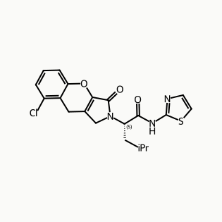 CC(C)C[C@@H](C(=O)Nc1nccs1)N1CC2=C(Oc3cccc(Cl)c3C2)C1=O